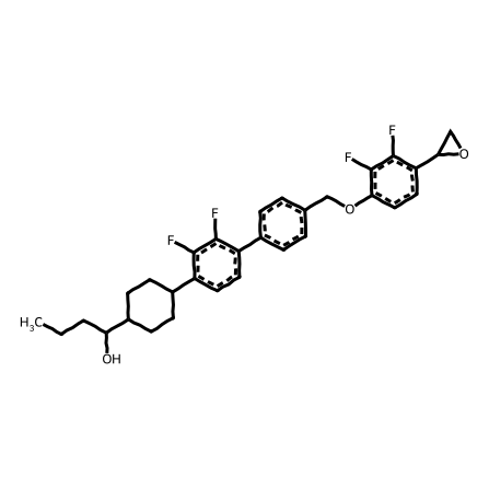 CCCC(O)C1CCC(c2ccc(-c3ccc(COc4ccc(C5CO5)c(F)c4F)cc3)c(F)c2F)CC1